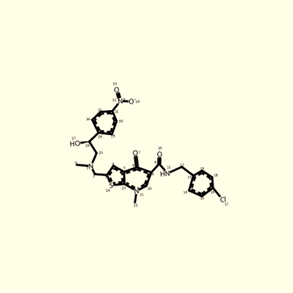 CN(Cc1cc2c(=O)c(C(=O)NCc3ccc(Cl)cc3)cn(C)c2s1)C[C@@H](O)c1ccc([N+](=O)[O-])cc1